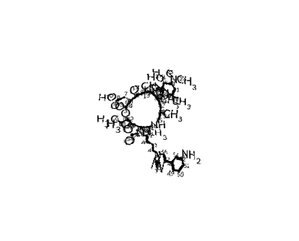 CC[C@H]1OC(=O)[C@H](CC(=O)O)C(=O)[C@H](C)[C@@H](O[C@@H]2O[C@H](C)CC(N(C)C)C2O)[C@](C)(OC)C[C@@H](C)CN[C@H](C)[C@H]2N(CCCCn3cc(-c4cccc(N)c4)nn3)C(=O)O[C@]12C